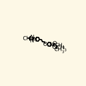 CC(C)(C)OC(=O)N1CCC(OCCCC2CCN(c3ncc(Cl)cn3)CC2)CC1